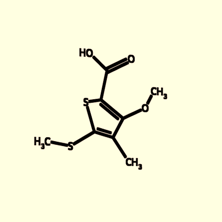 COc1c(C(=O)O)sc(SC)c1C